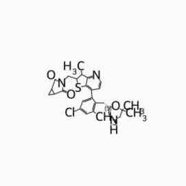 Cc1cc(Cl)cc(-c2ccnc3c2SC(CN2C(=O)C4CC4C2=O)C3C)c1C[C@H]1CNCC(C)(C)O1